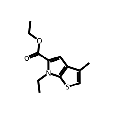 CCOC(=O)c1cc2c(C)csc2n1CC